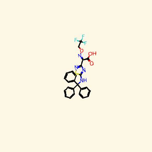 O=C(O)/C(=N\OCC(F)(F)F)c1nsc(NC(c2ccccc2)(c2ccccc2)c2ccccc2)n1